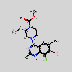 COc1cc2c(N3CCN(C(=O)OC(C)(C)C)[C@@H](CC#N)C3)nc(Cl)nc2c(F)c1Br